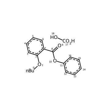 CCCCOc1ccccc1C(=O)Oc1ccccc1.O=C(O)O